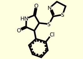 O=C1NC(=O)C(c2ccccc2Cl)C1SC1=NCCS1